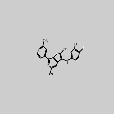 Cc1cc(-c2nc(C#N)cc3c(Nc4ccc(F)c(Cl)c4)c(N)oc23)ccn1